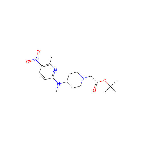 Cc1nc(N(C)C2CCN(CC(=O)OC(C)(C)C)CC2)ccc1[N+](=O)[O-]